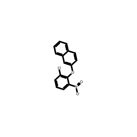 O=[N+]([O-])c1cccc(Cl)c1Oc1ccc2ccccc2c1